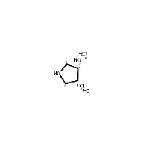 C1CCNC1.Cl.Cl.Cl.Cl